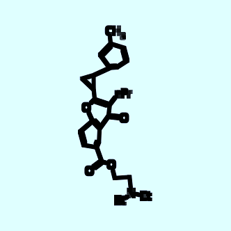 CCCc1c(C2CC2c2cccc(C)c2)oc2ccc(C(=O)OCCN(CC)CC)cc2c1=O